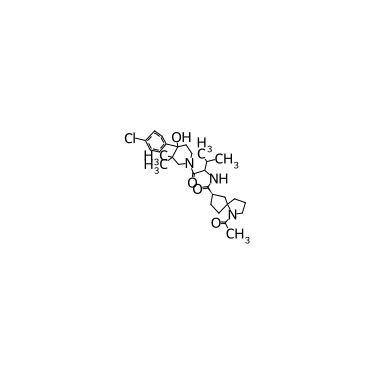 CC(=O)N1CCCC12CC[C@@H](C(=O)NC(C(=O)N1CCC(O)(c3ccc(Cl)cc3)C(C)(C)C1)C(C)C)C2